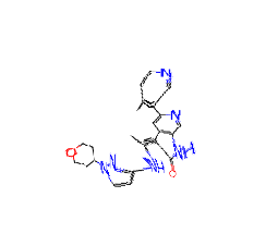 C/C(Nc1ccn(C2CCOCC2)n1)=C1/C(=O)Nc2cnc(-c3cnccc3C)cc21